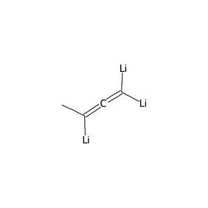 [Li][C]([Li])=C=[C]([Li])C